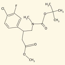 COC(=O)CC(CN(C)C(=O)OC(C)(C)C)c1ccc(Cl)c(F)c1